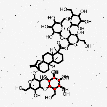 C=C1C[C@@]23CC[C@H]4[C@@](C)(CCC[C@@]4(C)C(=O)OC4OC(CO)C(O)C(OC5OC(CO)C(O)C(O)C5O)C4OC4OC(CO)C(O)C(O)C4O)[C@@H]2CC[C@]1(OC1OC(CO)C(O)C(OC2OC(CO)C(O)C(O)C2O)C1OC1OC(CO)C(O)C(O)C1O)C3